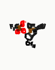 Cc1ccc2c(c1)cc(C(C)(C)C)[s+]2C(F)(F)F.O=S(=O)([O-])C(F)(F)F